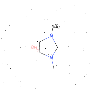 B.CCCCN1CCN(C)C1